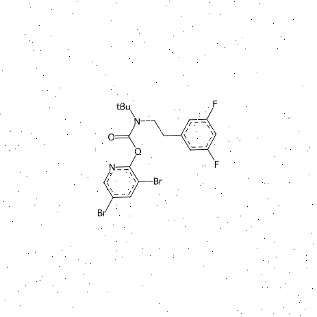 CC(C)(C)N(CCc1cc(F)cc(F)c1)C(=O)Oc1ncc(Br)cc1Br